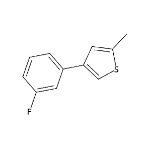 Cc1cc(-c2cccc(F)c2)cs1